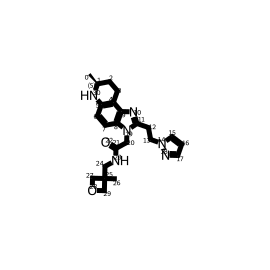 C[C@H]1CCc2c(ccc3c2nc(CCn2cccn2)n3CC(=O)NCC2(C)COC2)N1